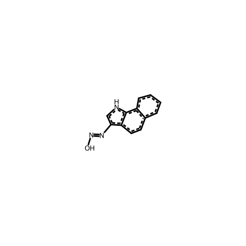 ON=Nc1c[nH]c2c1ccc1ccccc12